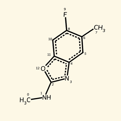 CNc1nc2cc(C)c(F)cc2o1